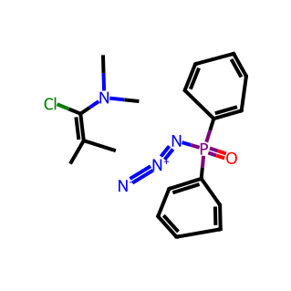 CC(C)=C(Cl)N(C)C.[N-]=[N+]=NP(=O)(c1ccccc1)c1ccccc1